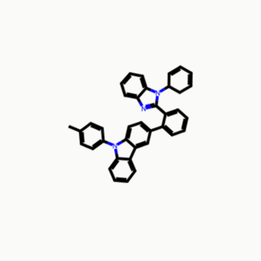 Cc1ccc(-n2c3ccccc3c3cc(-c4ccccc4-c4nc5ccccc5n4C4C=CC=CC4)ccc32)cc1